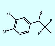 CC(F)(F)C(Br)c1ccc(Cl)c(Cl)c1